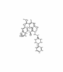 COC(=O)C1=C(C)N=C(OC)N(N(C=O)CCCN2CCC(c3ccccc3)CC2)C1C1=CC2=CNON2C=C1